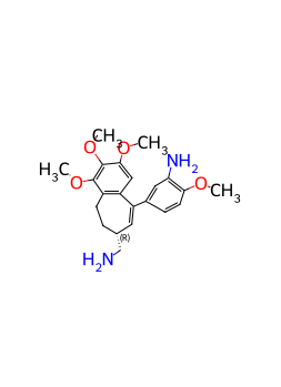 COc1ccc(C2=C[C@H](CN)CCc3c2cc(OC)c(OC)c3OC)cc1N